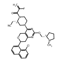 C=C(F)C(=O)N1CCN(c2nc(OC[C@@H]3CCCN3C)nc3c2COC(c2cccc4cccc(Cl)c24)C3)C[C@@H]1CC#N